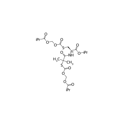 CC(C)OC(=O)[C@H](CSC(=O)OCOC(=O)C(C)C)NC(=O)C(C)(C)SC(=O)OCOC(=O)C(C)C